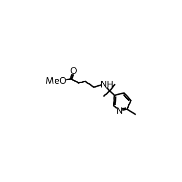 COC(=O)CCCNC(C)(C)c1ccc(C)nc1